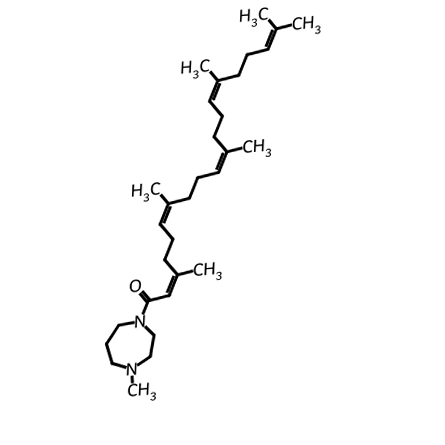 CC(C)=CCCC(C)=CCCC(C)=CCCC(C)=CCCC(C)=CC(=O)N1CCCN(C)CC1